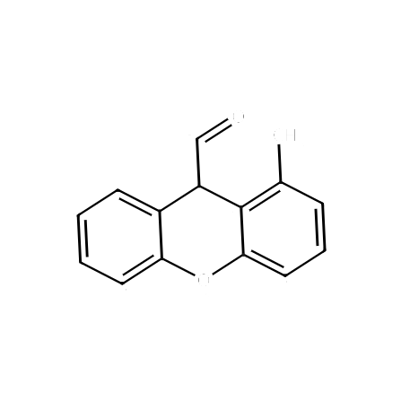 Cc1cccc2c1C(C=O)c1ccccc1O2